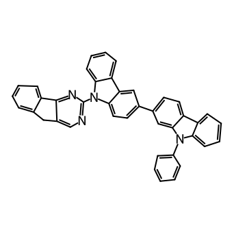 c1ccc(-n2c3ccccc3c3ccc(-c4ccc5c(c4)c4ccccc4n5-c4ncc5c(n4)-c4ccccc4C5)cc32)cc1